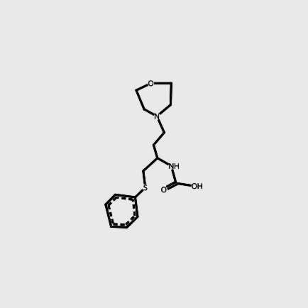 O=C(O)NC(CCN1CCOCC1)CSc1ccccc1